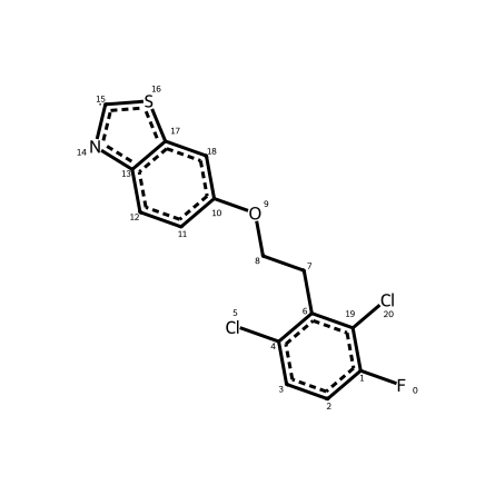 Fc1ccc(Cl)c(CCOc2ccc3n[c]sc3c2)c1Cl